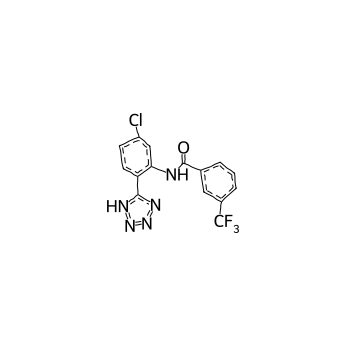 O=C(Nc1cc(Cl)ccc1-c1nnn[nH]1)c1cccc(C(F)(F)F)c1